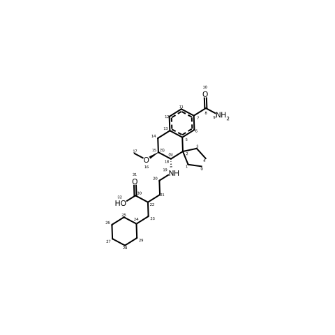 CCC1(CC)c2cc(C(N)=O)ccc2C[C@H](OC)[C@H]1NCCC(CC1CCCCC1)C(=O)O